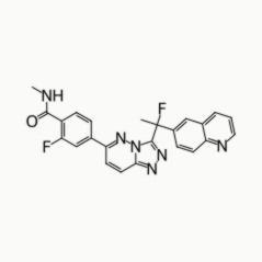 CNC(=O)c1ccc(-c2ccc3nnc(C(C)(F)c4ccc5ncccc5c4)n3n2)cc1F